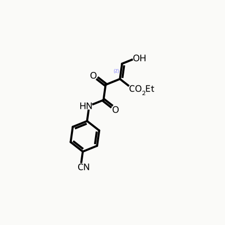 CCOC(=O)/C(=C\O)C(=O)C(=O)Nc1ccc(C#N)cc1